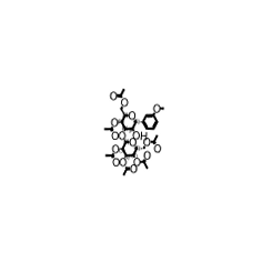 COc1cccc([C@H]2O[C@H](COC(C)=O)[C@@H](OC(C)=O)[C@H](O[C@H]3O[C@H](COC(C)=O)[C@@H](OC(C)=O)[C@H](OC(C)=O)[C@@H]3OC(C)=O)[C@@H]2O)c1